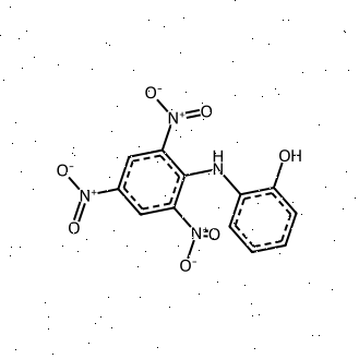 O=[N+]([O-])c1cc([N+](=O)[O-])c(Nc2ccccc2O)c([N+](=O)[O-])c1